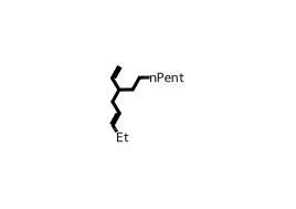 C=CC(CC=CCC)CCCCCCC